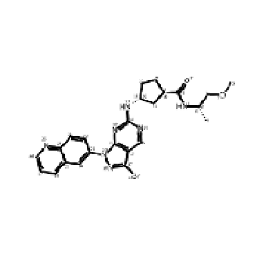 COC[C@H](C)NC(=O)[C@@H]1CC[C@@H](Nc2ncc3c(Br)nn(-c4ccc5ncccc5c4)c3n2)C1